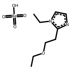 CCOCCc1nccn1CC.[O]=[Re](=[O])(=[O])[OH]